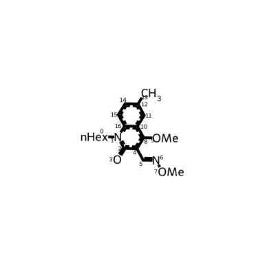 CCCCCCn1c(=O)c(C=NOC)c(OC)c2cc(C)ccc21